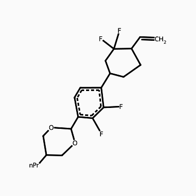 C=CC1CCC(c2ccc(C3OCC(CCC)CO3)c(F)c2F)CC1(F)F